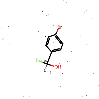 C[C@](O)(F)c1ccc(Br)cc1